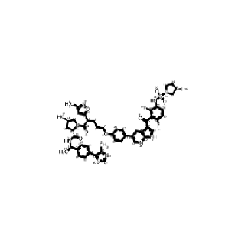 Cc1cc(C(CCCOc2ccc(-c3cnc4[nH]cc(C(=O)c5c(F)ccc(NS(=O)(=O)N6CC[C@@H](F)C6)c5F)c4c3)cc2)C(=O)N2C[C@H](O)C[C@H]2C(=O)NC(C)c2ccc(-c3scnc3C)cc2)on1